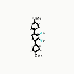 COc1ccc(-c2ccc(-c3ccc(OC)cc3)c(F)c2F)cc1